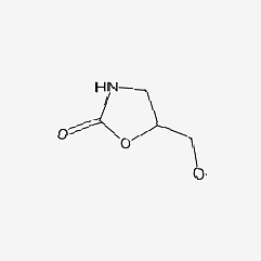 [O]CC1CNC(=O)O1